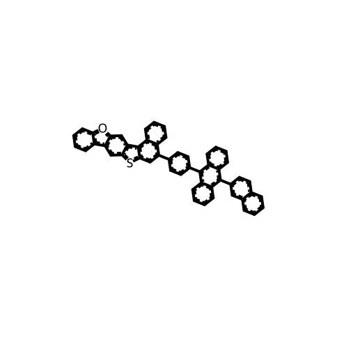 c1ccc2cc(-c3c4ccccc4c(-c4ccc(-c5cc6sc7cc8c(cc7c6c6ccccc56)oc5ccccc58)cc4)c4ccccc34)ccc2c1